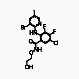 Cc1cnc(Nc2c(C(=O)NOCCO)cc(Cl)c(F)c2F)c(Br)c1